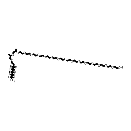 CC(COCCC(F)(F)C(F)(F)C(F)(F)C(F)(F)C(F)(F)C(F)(F)F)OCC(C)OCCOCCOCCOCCOCCOCCOCCOCCOCCOCCOCCOCCOCCOCCOCCO